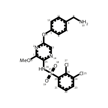 COc1nc(Oc2ccc(CN)cc2)cnc1NS(=O)(=O)c1cccc(Cl)c1Cl